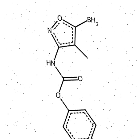 Bc1onc(NC(=O)Oc2ccccc2)c1C